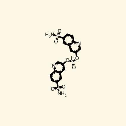 NS(=O)(=O)c1ccc2ncc(O[PH](=O)Oc3cnc4ccc(S(N)(=O)=O)cc4c3)cc2c1